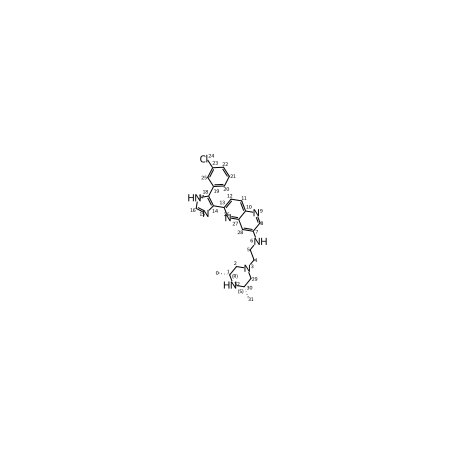 C[C@@H]1CN(CCNc2cnc3ccc(-c4nc[nH]c4-c4cccc(Cl)c4)nc3c2)C[C@H](C)N1